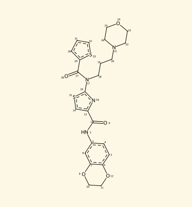 O=C(Nc1ccc2c(c1)OCCO2)c1csc(N(CCCN2CCOCC2)C(=O)c2cccs2)n1